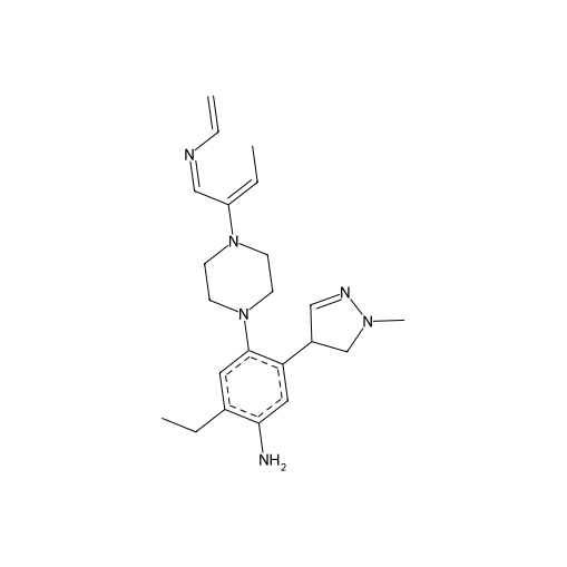 C=C/N=C\C(=C/C)N1CCN(c2cc(CC)c(N)cc2C2C=NN(C)C2)CC1